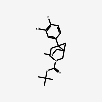 COCC12CN(C(=O)OC(C)(C)C)CCC1(c1ccc(F)c(Cl)c1)C2